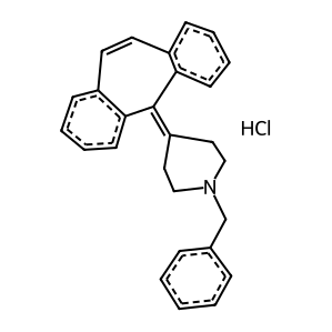 C1=Cc2ccccc2C(=C2CCN(Cc3ccccc3)CC2)c2ccccc21.Cl